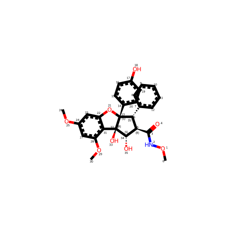 CONC(=O)[C@@H]1[C@@H](c2ccccc2)[C@@]2(c3ccc(O)cc3)Oc3cc(OC)cc(OC)c3[C@@]2(O)[C@H]1O